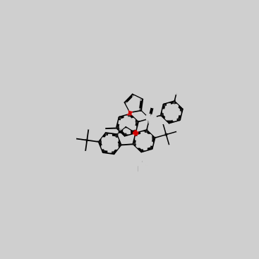 Cl.Cl.[CH2]=[Zr]([C]1=CC=CC1)([c]1ccc(C)cc1)([c]1cccc(Cl)c1)[c]1c(C(C)(C)C)ccc2c1Cc1cc(C(C)(C)C)ccc1-2